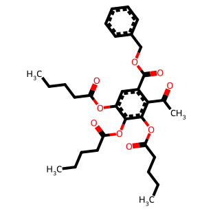 CCCCC(=O)Oc1cc(C(=O)OCc2ccccc2)c(C(C)=O)c(OC(=O)CCCC)c1OC(=O)CCCC